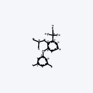 Cc1cc(C)cc(Oc2cccc(C(F)(F)F)c2CC(C)C)c1